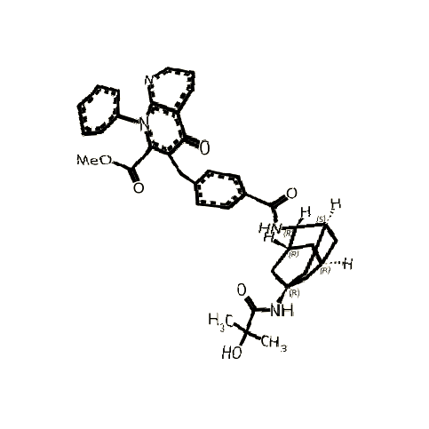 COC(=O)c1c(Cc2ccc(C(=O)N[C@H]3[C@@H]4C[C@H]5C[C@H]3C[C@](NC(=O)C(C)(C)O)(C5)C4)cc2)c(=O)c2cccnc2n1-c1ccccc1